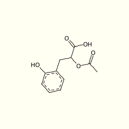 CC(=O)OC(Cc1ccccc1O)C(=O)O